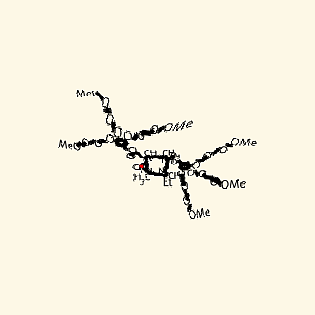 CCC1=C(C)c2cc3[nH]c(cc4nc(c5c6[nH]c(cc1n2)c(C)c6C(=O)C5)[C@@H](CCC(=O)OCc1cc(OCCOCCOCCOC)c(OCCOCCOCCOC)c(OCCOCCOCCOC)c1)[C@@H]4C)c(C)c3C(=O)OCc1cc(OCCOCCOCCOC)c(OCCOCCOCCOC)c(OCCOCCOCCOC)c1